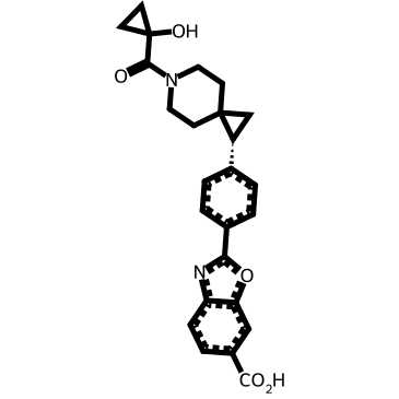 O=C(O)c1ccc2nc(-c3ccc([C@H]4CC45CCN(C(=O)C4(O)CC4)CC5)cc3)oc2c1